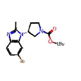 Cc1nc2ccc(Br)cc2n1[C@@H]1CCN(C(=O)OC(C)(C)C)C1